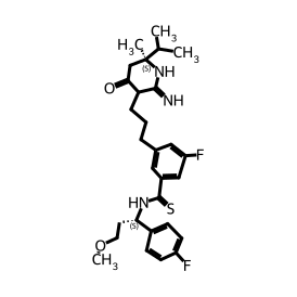 COCC[C@H](NC(=S)c1cc(F)cc(CCCC2C(=N)N[C@](C)(C(C)C)CC2=O)c1)c1ccc(F)cc1